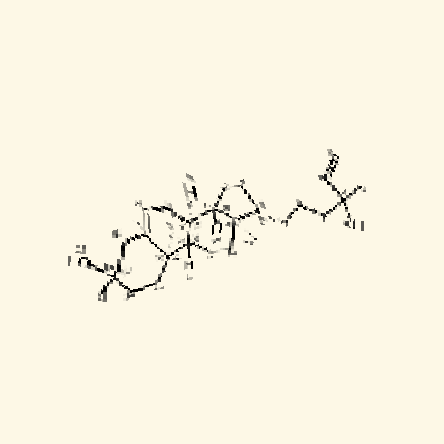 C=CC(C)(O)CCC[C@H]1CC[C@H]2[C@@H]3CC=C4C[C@@](C)(O)CC[C@]4(C)[C@H]3CC[C@]12C